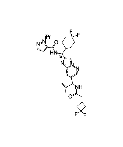 C=C(C)C(NC(=O)CC1CC(F)(F)C1)c1cnn2cc([C@@H](NC(=O)c3ccnn3C(C)C)C3CCC(F)(F)CC3)nc2c1